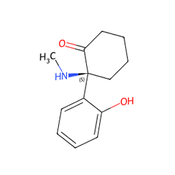 CN[C@]1(c2ccccc2O)CCCCC1=O